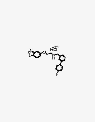 Cl.Cl.Fc1ccc(-c2cncc(CNCCOc3ccc4nsnc4c3)c2)cc1